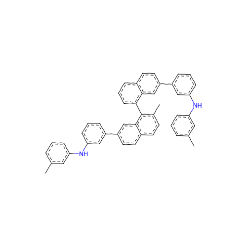 Cc1cccc(Nc2cccc(-c3ccc4cccc(-c5c(C)ccc6ccc(-c7cccc(Nc8cccc(C)c8)c7)cc56)c4c3)c2)c1